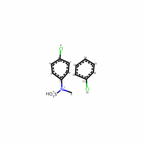 CN(c1ccc(Cl)cc1)S(=O)(=O)O.Clc1ccccc1